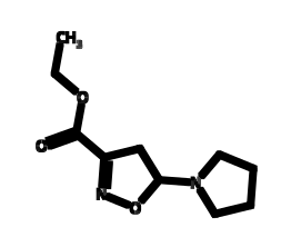 CCOC(=O)C1=NOC(N2CCCC2)C1